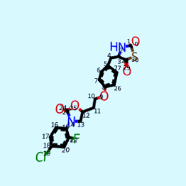 O=C1NC(Cc2ccc(OCCC3CN(c4ccc(Cl)cc4F)C(=O)O3)cc2)C(=O)S1